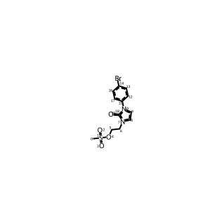 CS(=O)(=O)OCCn1ccn(-c2ccc(Br)cc2)c1=O